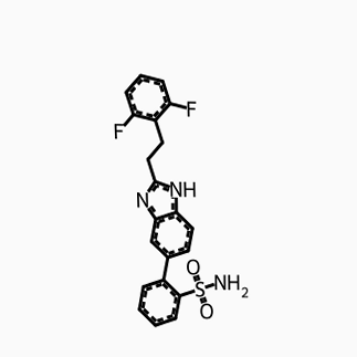 NS(=O)(=O)c1ccccc1-c1ccc2[nH]c(CCc3c(F)cccc3F)nc2c1